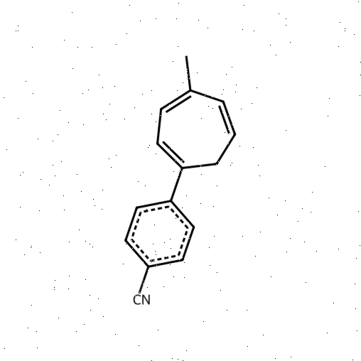 CC1=CC=C(c2ccc(C#N)cc2)CC=C1